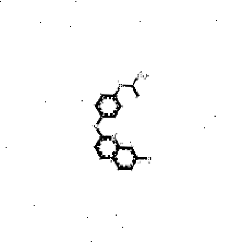 C[C@@H](Oc1ccc(Oc2ccc3ccc(Cl)cc3n2)cc1)C(=O)O